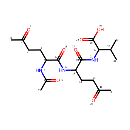 CC(=O)CCC(NC(C)=O)C(=O)NC(CCC(C)=O)C(=O)NC(C(=O)O)C(C)C